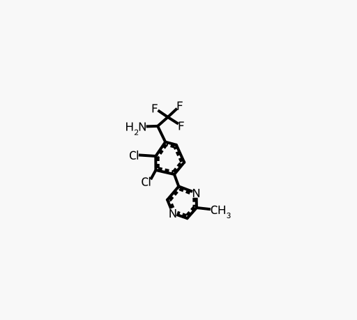 Cc1cncc(-c2ccc(C(N)C(F)(F)F)c(Cl)c2Cl)n1